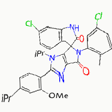 COc1cc(C(C)C)ccc1-c1nc2c(n1C(C)C)C1(C(=O)Nc3cc(Cl)ccc31)N(c1cc(Cl)ccc1C)C2=O